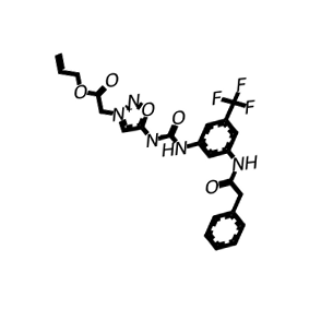 C=CCOC(=O)C[n+]1cc([N-]C(=O)Nc2cc(NC(=O)Cc3ccccc3)cc(C(F)(F)F)c2)on1